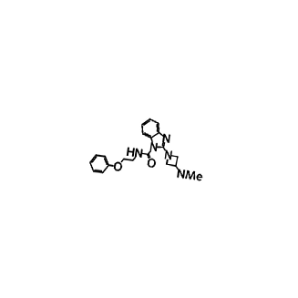 CNC1CN(c2nc3ccccc3n2C(=O)NCCOc2ccccc2)C1